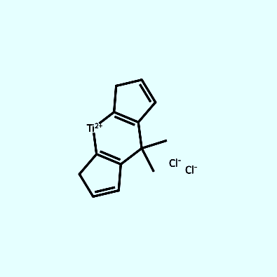 CC1(C)C2=[C](CC=C2)[Ti+2][C]2=C1C=CC2.[Cl-].[Cl-]